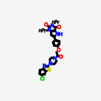 CCCn1c(=O)c2[nH]c(-c3ccc(OCC(=O)N4CCN(c5nc6ccc(Cl)cc6s5)CC4)cc3)cc2n(CCC)c1=O